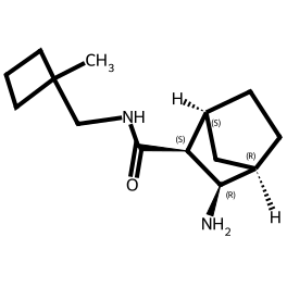 CC1(CNC(=O)[C@H]2[C@H]3CC[C@H](C3)[C@H]2N)CCC1